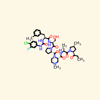 CCC(=O)[C@@H]1C[C@@H](C)CN1C(=O)[C@H](C)NC(=O)[C@@H]1CN(C)CCN1C(=O)[C@@H]1CCCN1C(=O)[C@H](CO)NC(=O)[C@H](Cc1cccc(C)c1)NC(=O)Nc1ccc(Cl)c(F)c1